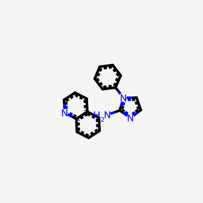 Nc1nccn1-c1ccccc1.c1ccc2ncccc2c1